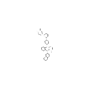 C=C/C=C(\C=C/CC)c1cccc(-c2ccc(C3=c4ccccc4=C(c4ccc5ccccc5c4)C4(C)C3=CC=CC4C)cc2)n1